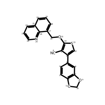 N#Cc1c(-c2ccc3c(c2)OCO3)csc1OCc1cccc2cccnc12